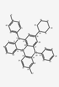 Cc1ccc(N2c3ccccc3B3c4ccc(C)cc4N(c4ccccc4)c4cc(C5CCCCC5)cc2c43)cc1